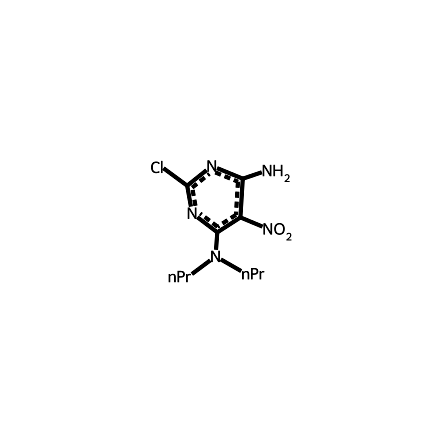 CCCN(CCC)c1nc(Cl)nc(N)c1[N+](=O)[O-]